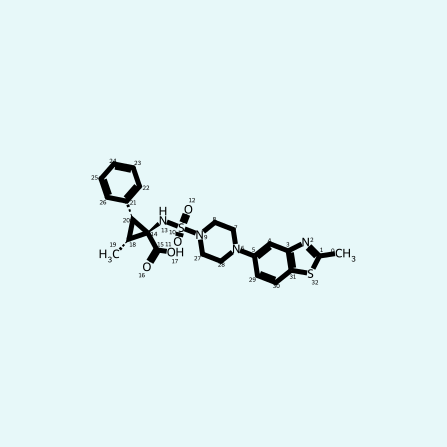 Cc1nc2cc(N3CCN(S(=O)(=O)N[C@@]4(C(=O)O)[C@H](C)[C@@H]4c4ccccc4)CC3)ccc2s1